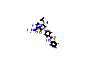 CC(C)NCCN(C(=O)c1nc[nH]c1C(N)=O)[C@H]1CC[C@H](C(=O)Nc2ccc(F)cc2Cl)CC1